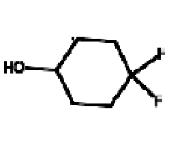 OC1[CH]CC(F)(F)CC1